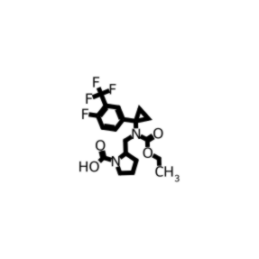 CCOC(=O)N(CC1CCCN1C(=O)O)C1(c2ccc(F)c(C(F)(F)F)c2)CC1